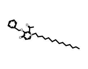 CCCCCCCCCCCCCCn1ccc(=O)c(OCc2ccccc2)c1C(C)=O